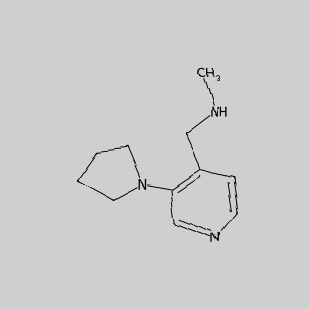 CNCc1ccncc1N1CCCC1